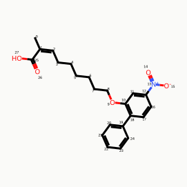 CC(=CCCCCCCOc1cc([N+](=O)[O-])ccc1-c1ccccc1)C(=O)O